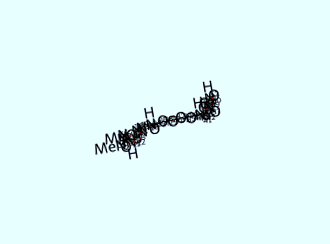 CNC(=O)c1nnccc1Nc1cccc(-c2ncn(CCNC(=O)CCOCCOCCOCCOCCNc3cccc4c3C(=O)N(C3CCC(=O)NC3=O)C4=O)n2)c1OC